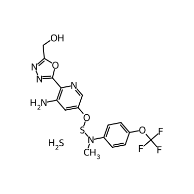 CN(SOc1cnc(-c2nnc(CO)o2)c(N)c1)c1ccc(OC(F)(F)F)cc1.S